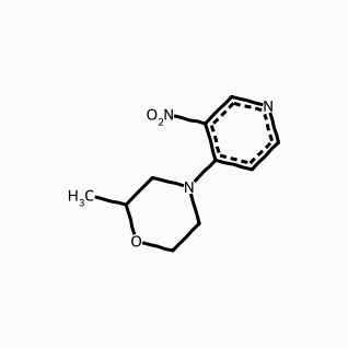 CC1CN(c2ccncc2[N+](=O)[O-])CCO1